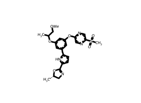 COCC(C)Oc1cc(Oc2cnc(S(C)(=O)=O)cn2)cc(-c2ccc(C3=NC[C@H](C)O3)[nH]2)c1